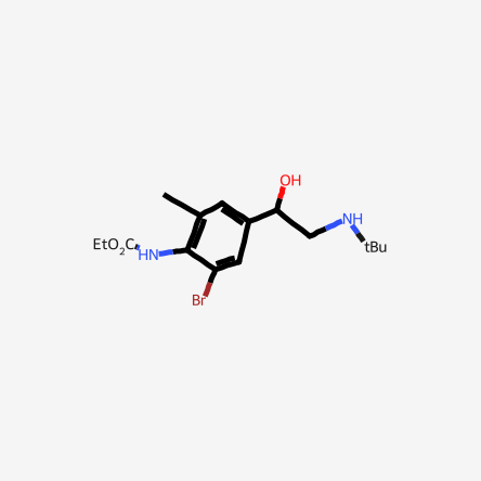 CCOC(=O)Nc1c(C)cc(C(O)CNC(C)(C)C)cc1Br